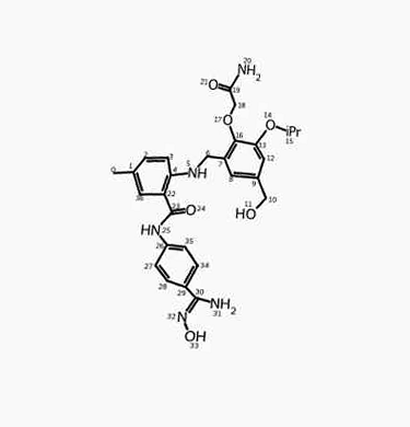 Cc1ccc(NCc2cc(CO)cc(OC(C)C)c2OCC(N)=O)c(C(=O)Nc2ccc(/C(N)=N/O)cc2)c1